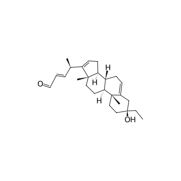 CC[C@]1(O)CC[C@@]2(C)C(=CC[C@@H]3[C@@H]2CC[C@]2(C)C([C@H](C)/C=C/C=O)=CC[C@@H]32)C1